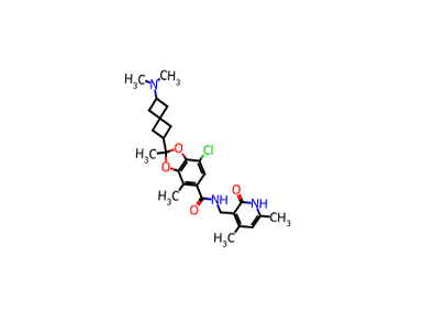 Cc1cc(C)c(CNC(=O)c2cc(Cl)c3c(c2C)OC(C)(C2CC4(CC(N(C)C)C4)C2)O3)c(=O)[nH]1